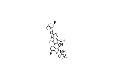 CC(C)(C)OC(=O)Nc1sc2c(F)ccc(-c3c(Cl)c(O)c4cnc(OC[C@@]56CCCN5C[C@H](F)C6)nc4c3F)c2c1C#N